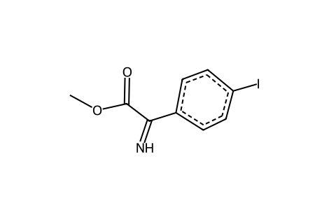 COC(=O)C(=N)c1ccc(I)cc1